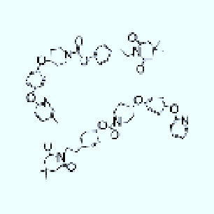 CC1(C)CC(=O)N(CCc2ccc(OC(=O)N3CCC(Oc4ccc(Oc5ccccn5)cc4)CC3)cc2)C(=O)C1.Cc1ccc(Oc2ccc(OC3CCN(C(=O)Oc4ccc(CCN5C(=O)CC(C)(C)CC5=O)cc4)CC3)cc2)nc1